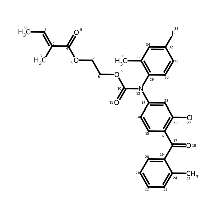 C/C=C(\C)C(=O)OCCOC(=O)N(c1ccc(C(=O)c2ccccc2C)c(Cl)c1)c1ccc(F)cc1C